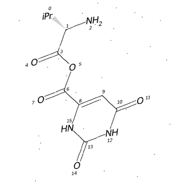 CC(C)[C@H](N)C(=O)OC(=O)c1cc(=O)[nH]c(=O)[nH]1